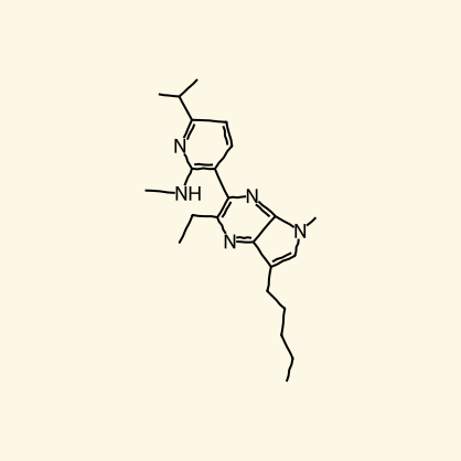 CCCCCc1cn(C)c2nc(-c3ccc(C(C)C)nc3NC)c(CC)nc12